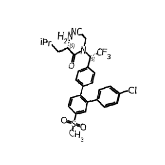 CC(C)C[C@H](N)C(=O)N(CC#N)[C@@H](c1ccc(-c2ccc(S(C)(=O)=O)cc2-c2ccc(Cl)cc2)cc1)C(F)(F)F